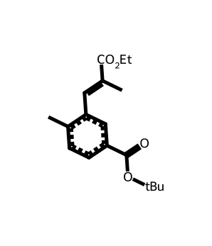 CCOC(=O)/C(C)=C/c1cc(C(=O)OC(C)(C)C)ccc1C